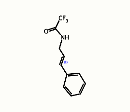 O=C(NC/C=C/c1ccccc1)C(F)(F)F